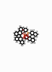 c1ccc(P(c2ccccc2)c2ccc3ccccc3c2-c2c(Op3oc4c5ccccc5c5ccccc5c4c4c5ccccc5c5ccccc5c4o3)ccc3ccccc23)cc1